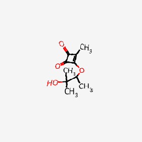 Cc1c(OC(C)C(C)(C)O)c(=O)c1=O